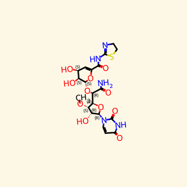 CO[C@H]1[C@@H](O)[C@H](n2ccc(=O)[nH]c2=O)O[C@@H]1[C@@H](O[C@H]1OC(C(=O)NC2=NCCS2)=C[C@H](O)[C@@H]1O)C(N)=O